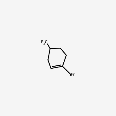 CC(C)C1=CCC(C(F)(F)F)CC1